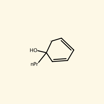 CCCC1(O)[CH]C=CC=C1